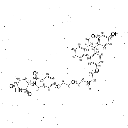 CN(CCOCCOc1ccc2c(c1)CN(C1CCC(=O)NC1=O)C2=O)CCOc1ccc([C@H]2c3ccc(O)cc3OC[C@H]2c2ccccc2)cc1